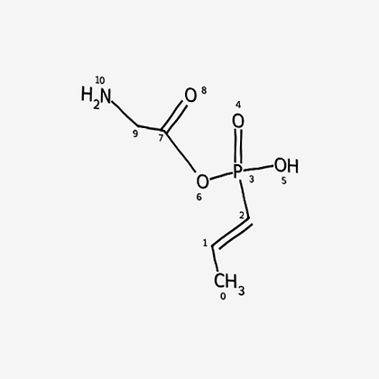 CC=CP(=O)(O)OC(=O)CN